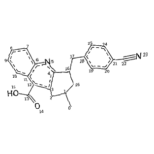 CC1Cc2c(nc3ccccc3c2C(=O)O)C(Cc2ccc(C#N)cc2)C1